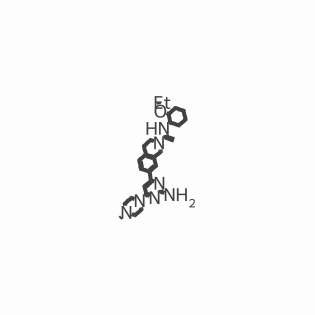 C=C(NC1CCCCC1OCC)N1CCc2ccc(-c3cc(N4CCN(C)CC4)nc(N)n3)cc2C1